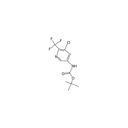 CC(C)(C)OC(=O)Nc1cnc(C(F)(F)F)c(Cl)c1